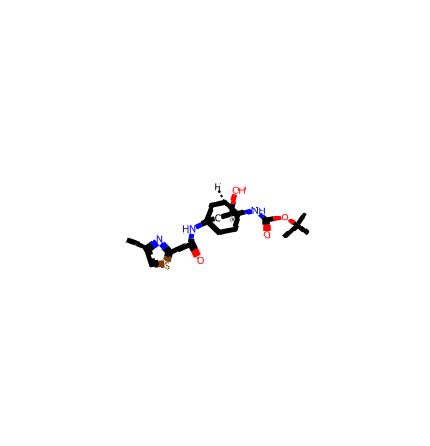 Cc1csc(C(=O)NC23CCC(NC(=O)OC(C)(C)C)(CC2)[C@H](O)C3)n1